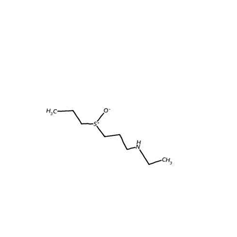 CCC[S+]([O-])CCCNCC